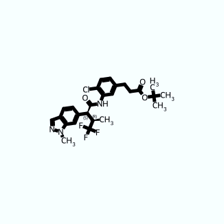 C[C@H]([C@H](C(=O)Nc1cc(CCC(=O)OC(C)(C)C)ccc1Cl)c1ccc2cnn(C)c2c1)C(F)(F)F